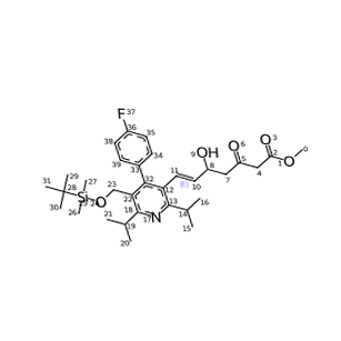 COC(=O)CC(=O)CC(O)/C=C/c1c(C(C)C)nc(C(C)C)c(CO[Si](C)(C)C(C)(C)C)c1-c1ccc(F)cc1